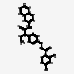 CCc1ccc(C(=O)OCc2ccc(C(CN)C(=O)Nc3ccc4cnccc4c3)cc2)c(CC)c1